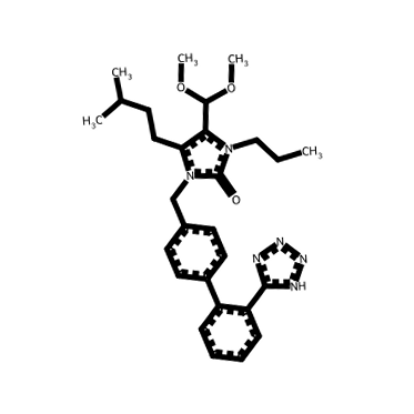 CCCn1c(C(OC)OC)c(CCC(C)C)n(Cc2ccc(-c3ccccc3-c3nnn[nH]3)cc2)c1=O